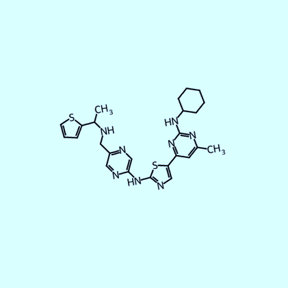 Cc1cc(-c2cnc(Nc3cnc(CNC(C)c4cccs4)cn3)s2)nc(NC2CCCCC2)n1